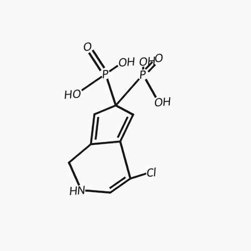 O=P(O)(O)C1(P(=O)(O)O)C=C2CNC=C(Cl)C2=C1